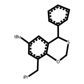 CC(C)Cc1cc(C(C)(C)C)cc2c1OCSC2c1ccccc1